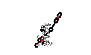 COC(=O)N[C@H](C(=O)N[C@@H](Cc1ccc(C#Cc2ccc(N3CC4CCC(C3)N4C3COC3)cc2)cc1)[C@@H](O)CN(Cc1c(F)cc(-c2ccccn2)cc1F)NC(=O)[C@@H](NC(=O)O)C(C)(C)C(F)(F)F)C(C)(C)C(F)(F)F